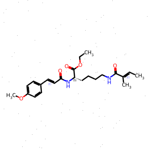 C/C=C(\C)C(=O)NCCCC[C@H](NC(=O)/C=C/c1ccc(OC)cc1)C(=O)OCC